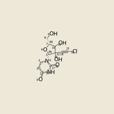 O=c1ccn([C@@H]2O[C@H](CO)C(O)C2(O)C#CCl)c(=O)[nH]1